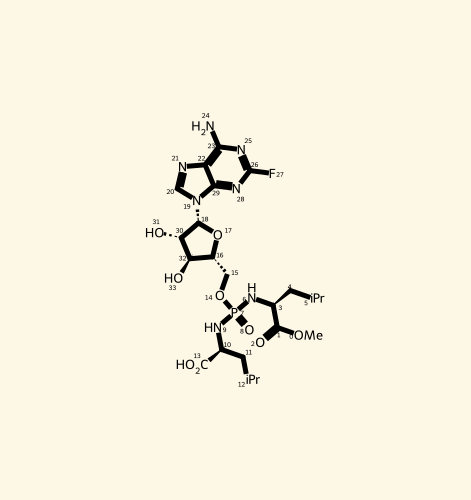 COC(=O)[C@H](CC(C)C)NP(=O)(N[C@@H](CC(C)C)C(=O)O)OC[C@H]1O[C@@H](n2cnc3c(N)nc(F)nc32)[C@@H](O)[C@@H]1O